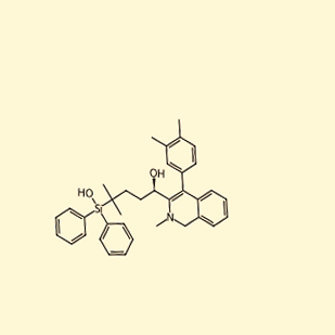 Cc1ccc(C2=C([C@H](O)CCC(C)(C)[Si](O)(c3ccccc3)c3ccccc3)N(C)Cc3ccccc32)cc1C